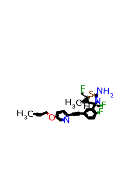 CC#CCOc1ccc(C#Cc2ccc(F)c([C@@]3(CF)N=C(N)S[C@]4(CF)[C@H]3[C@@H]4C)c2)nc1